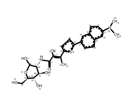 C/C(=C(/C#N)C(=O)N[C@H]1C(O)O[C@H](CO)[C@@H](O)[C@@H]1O)c1ccc(-c2ccc3cc(N(C)C)ccc3c2)s1